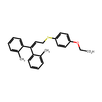 Cc1ccccc1C(=CCSc1ccc(OCC(=O)O)cc1)c1ccccc1C